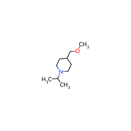 COC[C]1CCN(C(C)C)CC1